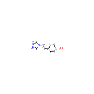 Oc1ccc(/C=N/n2cnnc2)cc1